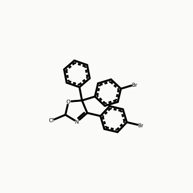 ClC1N=C(c2ccc(Br)cc2)C(c2ccccc2)(c2ccc(Br)cc2)O1